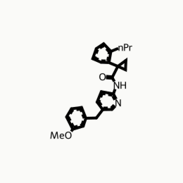 CCCc1ccccc1C1(C(=O)Nc2ccc(Cc3cccc(OC)c3)cn2)CC1